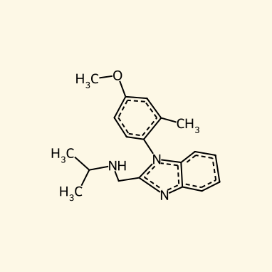 COc1ccc(-n2c(CNC(C)C)nc3ccccc32)c(C)c1